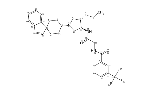 CCO[C@H]1CN(C2CCC3(C=Cc4ccccc43)CC2)C[C@@H]1NC(=O)CNC(=O)c1cccc(C(F)(F)F)c1